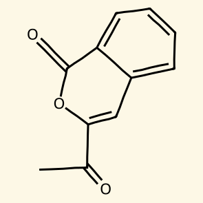 CC(=O)c1cc2ccccc2c(=O)o1